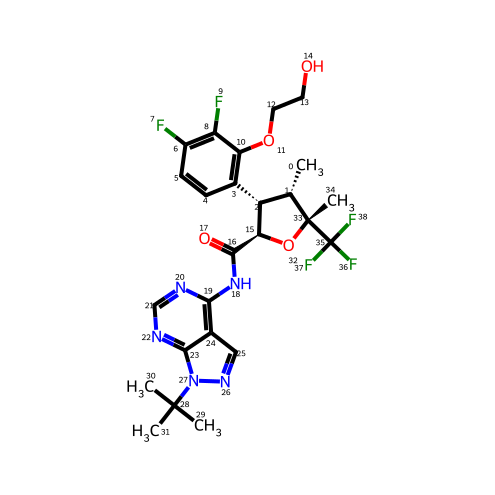 C[C@H]1[C@@H](c2ccc(F)c(F)c2OCCO)[C@H](C(=O)Nc2ncnc3c2cnn3C(C)(C)C)O[C@@]1(C)C(F)(F)F